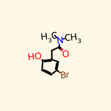 CN(C)C(=O)Cc1cc(Br)ccc1O